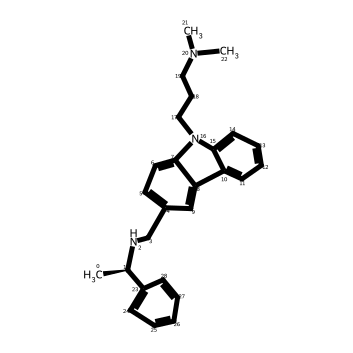 C[C@@H](NCc1ccc2c(c1)c1ccccc1n2CCCN(C)C)c1ccccc1